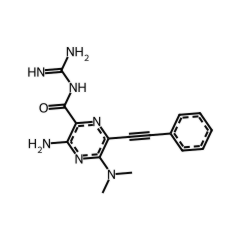 CN(C)c1nc(N)c(C(=O)NC(=N)N)nc1C#Cc1ccccc1